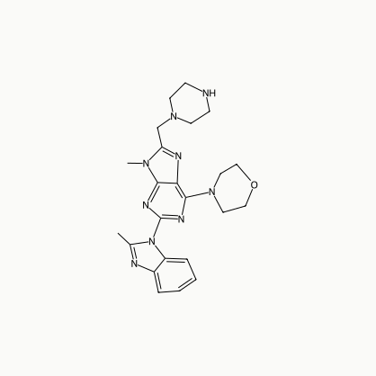 Cc1nc2ccccc2n1-c1nc(N2CCOCC2)c2nc(CN3CCNCC3)n(C)c2n1